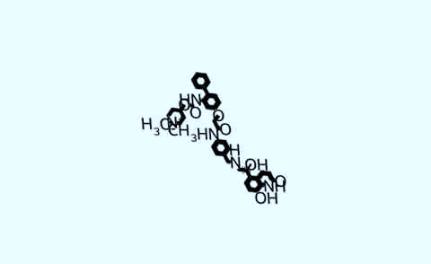 C[N+]1(C)CCC(OC(=O)Nc2cc(OCC(=O)Nc3ccc(CNC[C@@H](O)c4ccc(O)c5[nH]c(=O)ccc45)cc3)ccc2-c2ccccc2)CC1